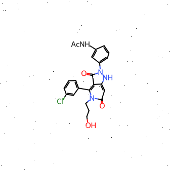 CC(=O)Nc1cccc(-n2[nH]c3cc(=O)n(CCCO)c(-c4cccc(Cl)c4)c3c2=O)c1